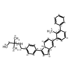 Cc1c(-c2ccccc2)cccc1-c1ccn2c(-c3ccc(CNC(C)(C)CO)cc3)cnc2c1